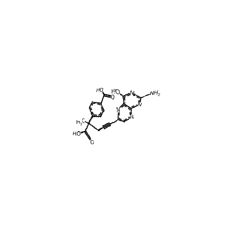 CC(CC#Cc1cnc2nc(N)nc(O)c2n1)(C(=O)O)c1ccc(C(=O)O)cc1